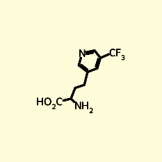 NC(CCc1cncc(C(F)(F)F)c1)C(=O)O